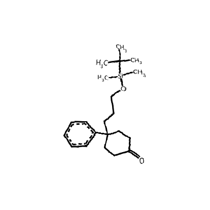 CC(C)(C)[Si](C)(C)OCCCC1(c2ccccc2)CCC(=O)CC1